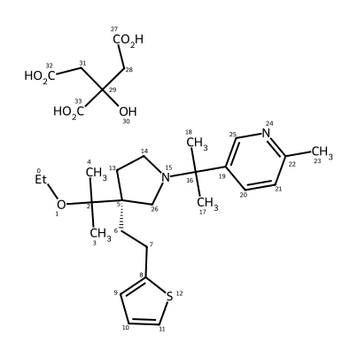 CCOC(C)(C)[C@@]1(CCc2cccs2)CCN(C(C)(C)c2ccc(C)nc2)C1.O=C(O)CC(O)(CC(=O)O)C(=O)O